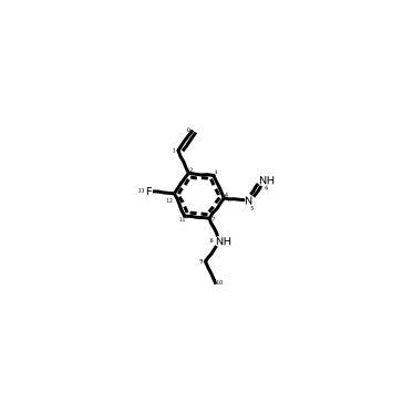 C=Cc1cc(N=N)c(NCC)cc1F